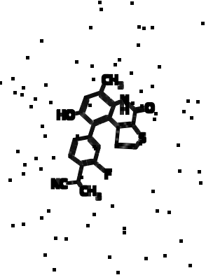 Cc1cc(O)c(-c2ccc(C(C)C#N)c(F)c2)c2c1[nH]c(=O)c1sccc12